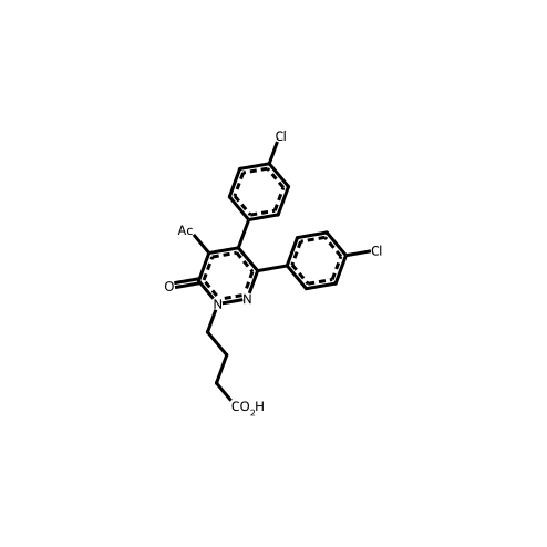 CC(=O)c1c(-c2ccc(Cl)cc2)c(-c2ccc(Cl)cc2)nn(CCCC(=O)O)c1=O